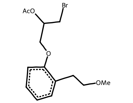 COCCc1ccccc1OCC(CBr)OC(C)=O